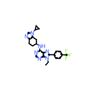 CCn1c(-c2ccc(C(F)(F)F)cc2)nc2c(NC3CCc4ncn(C5CC5)c4C3)ncnc21